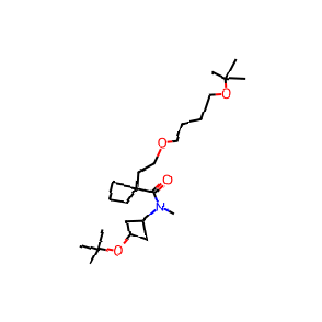 CN(C(=O)C1(CCOCCCCOC(C)(C)C)CCC1)C1CC(OC(C)(C)C)C1